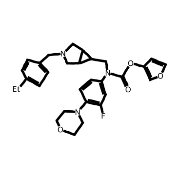 CCc1ccc(CN2CC3C(C2)C3CN(C(=O)Oc2ccoc2)c2ccc(N3CCOCC3)c(F)c2)cc1